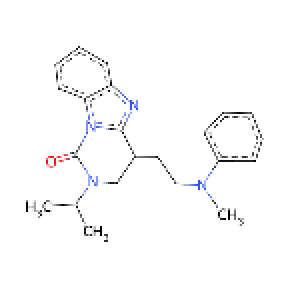 CC(C)N1CC(CCN(C)c2ccccc2)c2nc3ccccc3n2C1=O